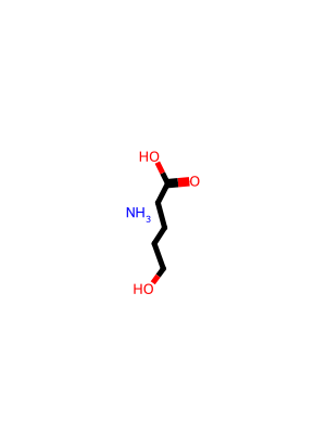 N.O=C(O)CCCCO